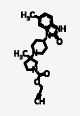 C#CCOC(=O)N1CCC(C)(N2CCC(n3c(=O)[nH]c4ccc(C)cc43)CC2)C1